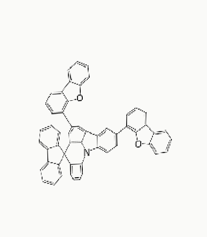 c1ccc2c(c1)-c1ccccc1C21c2ccccc2-n2c3ccc(-c4cccc5c4oc4ccccc45)cc3c3cc(-c4cccc5c4oc4ccccc45)cc1c32